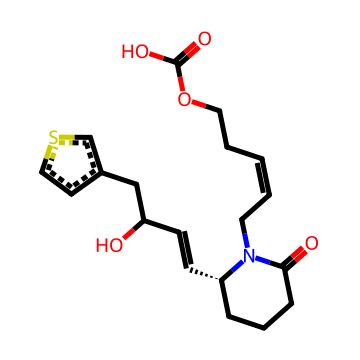 O=C(O)OCC/C=C\CN1C(=O)CCC[C@@H]1/C=C/C(O)Cc1ccsc1